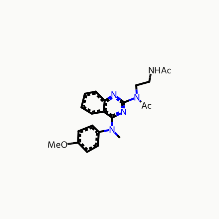 COc1ccc(N(C)c2nc(N(CCNC(C)=O)C(C)=O)nc3ccccc23)cc1